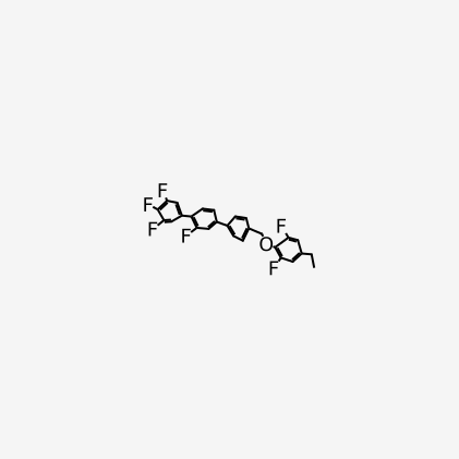 CCc1cc(F)c(OCc2ccc(-c3ccc(-c4cc(F)c(F)c(F)c4)c(F)c3)cc2)c(F)c1